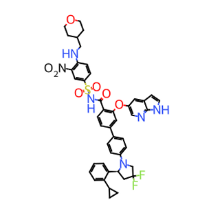 O=C(NS(=O)(=O)c1ccc(NCC2CCOCC2)c([N+](=O)[O-])c1)c1ccc(-c2ccc(N3CC(F)(F)C[C@H]3c3ccccc3C3CC3)cc2)cc1Oc1cnc2[nH]ccc2c1